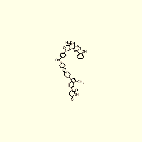 Cc1cn(C2CCN(CC3(F)CCN(C(=O)c4ccc([C@@H]5CN(c6cc(-c7ccccc7O)nnc6N)[C@H](C)CO5)cc4)CC3)CC2)c2ccc(N3CCC(=O)NC3=O)cc12